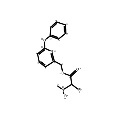 CC(C)C(C(=O)OCc1cccc(Oc2ccccc2)n1)N(C)C(C)C